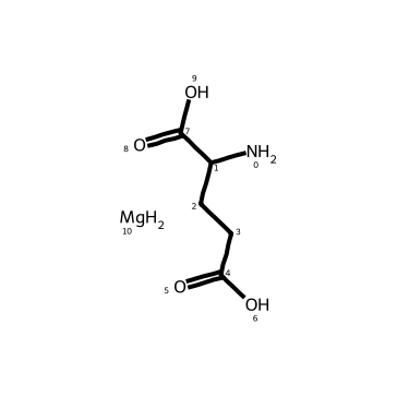 NC(CCC(=O)O)C(=O)O.[MgH2]